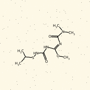 COC(=NC(=O)N(C)C)NC(=O)NSC(C)C